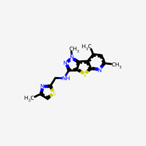 Cc1csc(CNc2nn(C)c3c2sc2nc(C)cc(C)c23)n1